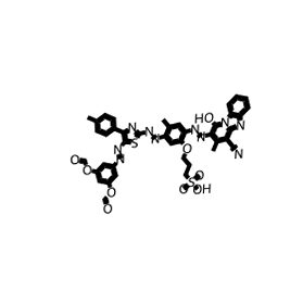 Cc1ccc(-c2nc(N=Nc3cc(OCCCS(=O)(=O)O)c(N=Nc4c(C)c(C#N)c5nc6ccccc6n5c4O)cc3C)sc2N=Nc2cc(OC=O)cc(OC=O)c2)cc1